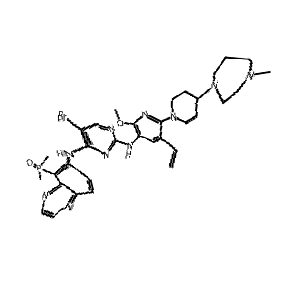 C=Cc1cc(Nc2ncc(Br)c(Nc3ccc4nccnc4c3P(C)(C)=O)n2)c(OC)nc1N1CCC(N2CCCN(C)CC2)CC1